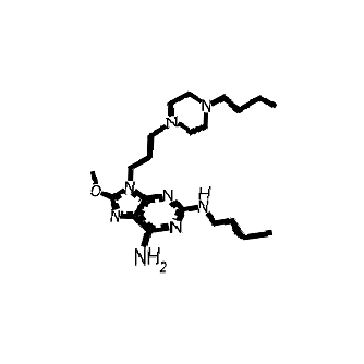 CCCCNc1nc(N)c2nc(OC)n(CCCN3CCN(CCCC)CC3)c2n1